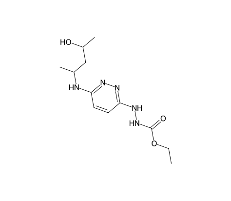 CCOC(=O)NNc1ccc(NC(C)CC(C)O)nn1